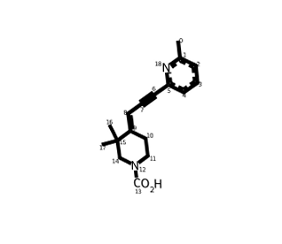 Cc1cccc(C#C/C=C2\CCN(C(=O)O)CC2(C)C)n1